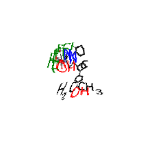 CC(C)(O)c1ccc(-c2cccc(C3CC(C(O)(C(F)(F)F)C(F)(F)F)=NN3c3ccccc3Cl)c2)cc1